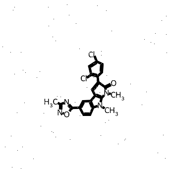 Cc1noc(-c2ccc3c(c2)c2cc(-c4ccc(Cl)cc4Cl)c(=O)n(C)c2n3C)n1